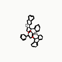 CC12c3ccccc3-c3cccc(c31)N(c1ccccc1-c1cccc3oc4cc5ccccc5cc4c13)c1ccc(-c3ccccc3)cc12